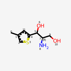 Cc1csc(C(O)[C@H](N)CO)c1